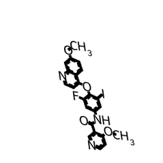 COc1ccc2c(Oc3c(F)cc(NC(=O)c4cnccc4OC)cc3I)ccnc2c1